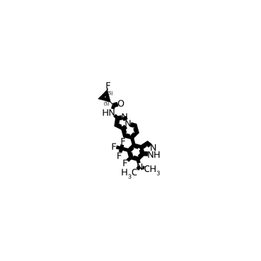 CN(C)c1c(F)c(C(F)(F)F)c(-c2ccn3nc(NC(=O)[C@@H]4C[C@@H]4F)cc3c2)c2cn[nH]c12